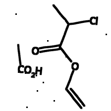 C=COC(=O)C(C)Cl.CC(=O)O